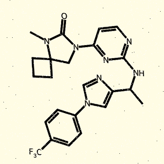 CC(Nc1nccc(N2CC3(CCC3)N(C)C2=O)n1)c1cn(-c2ccc(C(F)(F)F)cc2)cn1